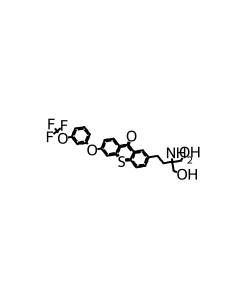 NC(CO)(CO)CCc1ccc2sc3cc(Oc4cccc(OC(F)(F)F)c4)ccc3c(=O)c2c1